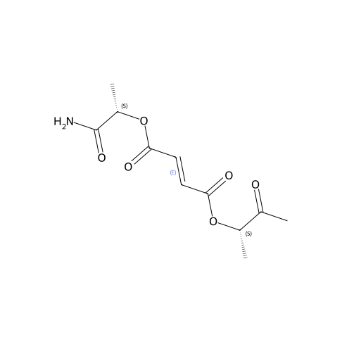 CC(=O)[C@H](C)OC(=O)/C=C/C(=O)O[C@@H](C)C(N)=O